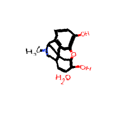 CN1CCC23c4c5ccc(O)c4OC2C(O)C=CC3C1C5.O